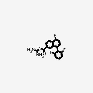 NC(N)=NC(=O)c1ccc2c(F)ccc(-c3c(F)cccc3F)c2c1